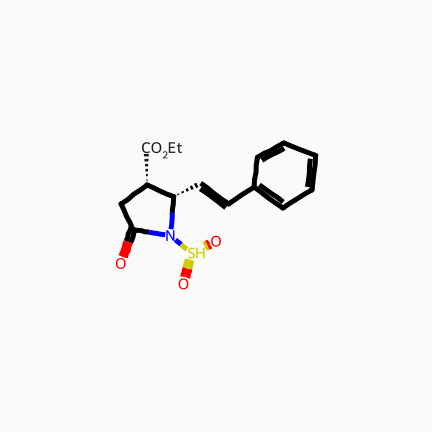 CCOC(=O)[C@H]1CC(=O)N([SH](=O)=O)[C@H]1/C=C/c1ccccc1